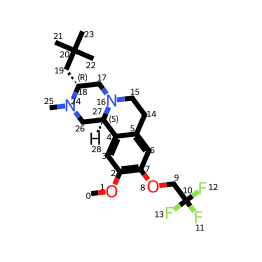 COc1cc2c(cc1OCC(F)(F)F)CCN1C[C@@H](CC(C)(C)C)N(C)C[C@H]21